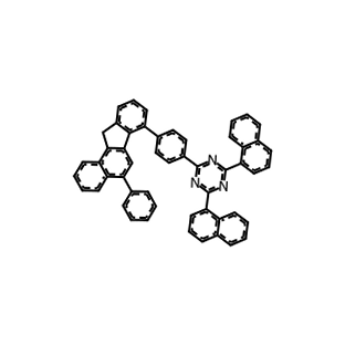 c1ccc(-c2cc3c(c4ccccc24)Cc2cccc(-c4ccc(-c5nc(-c6cccc7ccccc67)nc(-c6cccc7ccccc67)n5)cc4)c2-3)cc1